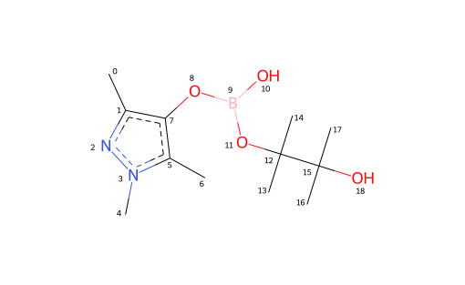 Cc1nn(C)c(C)c1OB(O)OC(C)(C)C(C)(C)O